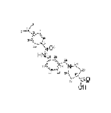 CC(C)c1ccc(C(=O)Nc2cccc(CN3CCC(C(=O)O)CC3)c2)cc1